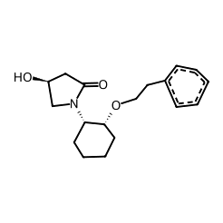 O=C1C[C@H](O)CN1[C@H]1CCCC[C@H]1OCCc1ccccc1